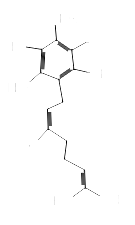 CCCCCc1c(Br)c(O)c(CC=C(C)CCC=C(C)C)c(O)c1Br